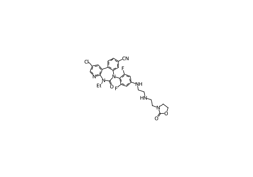 CCN1C(=O)N(c2c(F)cc(NCCNCCN3CCOC3=O)cc2F)c2cc(C#N)ccc2-c2cc(Cl)cnc21